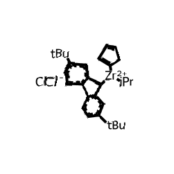 C[CH](C)[Zr+2]([C]1=CC=CC1)[CH]1c2cc(C(C)(C)C)ccc2-c2ccc(C(C)(C)C)cc21.[Cl-].[Cl-]